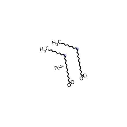 CCCCCCCC/C=C\CCCCCCCCCCCC(=O)[O-].CCCCCCCC/C=C\CCCCCCCCCCCC(=O)[O-].[Fe+2]